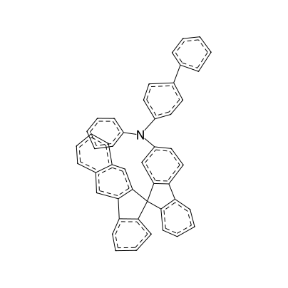 c1ccc(-c2ccc(N(c3ccccc3)c3ccc4c(c3)C3(c5ccccc5-4)c4ccccc4-c4cc5ccccc5cc43)cc2)cc1